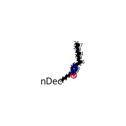 CCCCCCCCCCCCCCCCC(=O)N1CCN(CCC(C)CC/C=C(\C)CCC=C(C)C)CC1